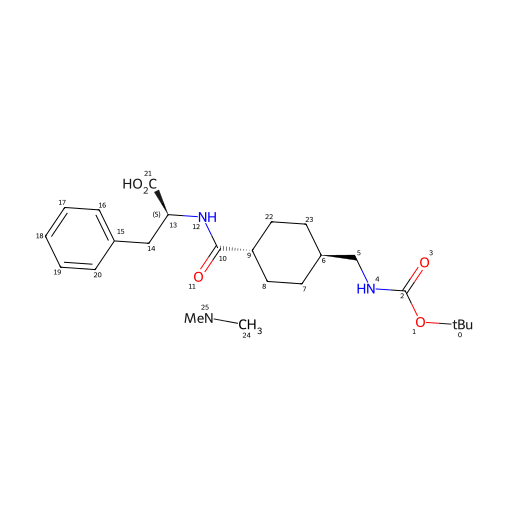 CC(C)(C)OC(=O)NC[C@H]1CC[C@H](C(=O)N[C@@H](Cc2ccccc2)C(=O)O)CC1.CNC